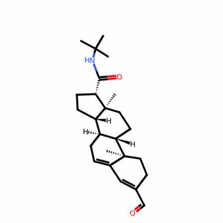 CC(C)(C)NC(=O)[C@H]1CC[C@H]2[C@@H]3CC=C4C=C(C=O)CC[C@]4(C)[C@H]3CC[C@]12C